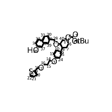 CC(C)(C)OC(=O)ON1CCC(c2ccc(OCCCOCc3cccs3)cc2)C(OCc2ccc3ccc(O)cc3c2)C1